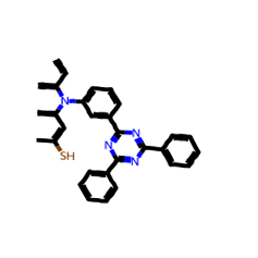 C=CC(=C)N(C(=C)/C=C(\C)S)c1cccc(-c2nc(-c3ccccc3)nc(-c3ccccc3)n2)c1